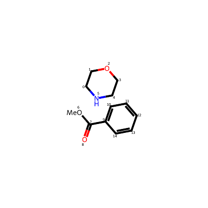 C1COCCN1.COC(=O)c1ccccc1